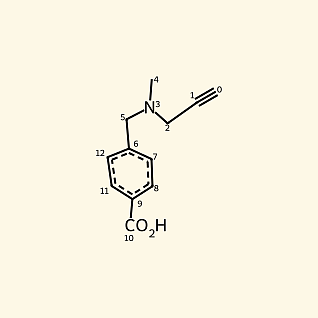 C#CCN(C)Cc1ccc(C(=O)O)cc1